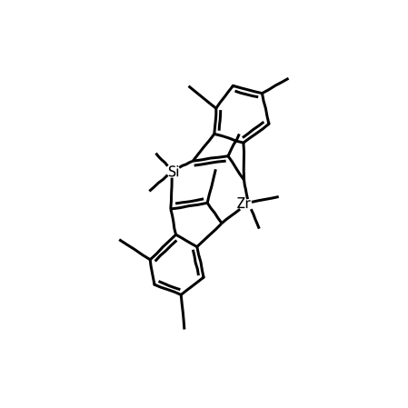 CC1=C2c3c(C)cc(C)cc3[CH]1[Zr]([CH3])([CH3])[CH]1C(C)=C(c3c(C)cc(C)cc31)[Si]2(C)C